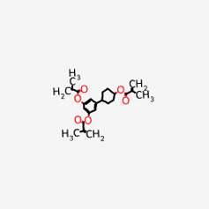 C=C(C)C(=O)Oc1cc(OC(=O)C(=C)C)cc(C2CCC(OC(=O)C(=C)C)CC2)c1